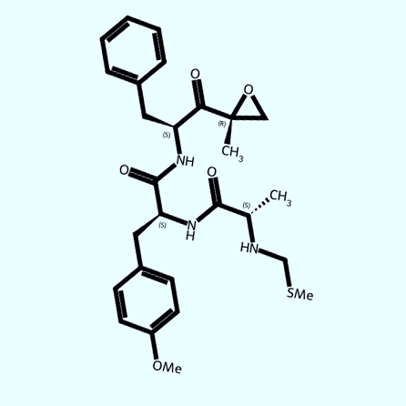 COc1ccc(C[C@H](NC(=O)[C@H](C)NCSC)C(=O)N[C@@H](Cc2ccccc2)C(=O)[C@@]2(C)CO2)cc1